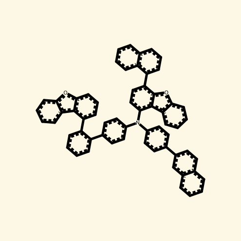 c1ccc(-c2cccc3oc4ccccc4c23)c(-c2ccc(N(c3ccc(-c4ccc5ccccc5c4)cc3)c3ccc(-c4cccc5ccccc45)c4oc5ccccc5c34)cc2)c1